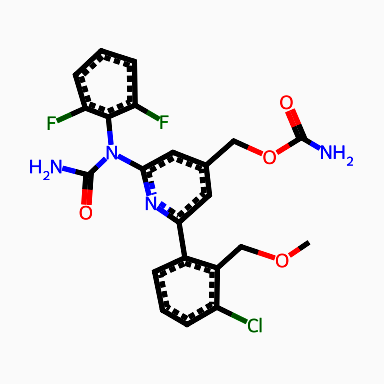 COCc1c(Cl)cccc1-c1cc(COC(N)=O)cc(N(C(N)=O)c2c(F)cccc2F)n1